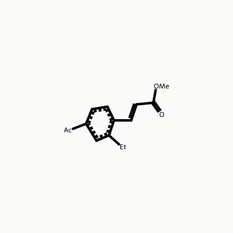 CCc1cc(C(C)=O)ccc1C=CC(=O)OC